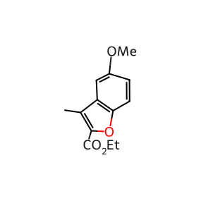 CCOC(=O)c1oc2ccc(OC)cc2c1C